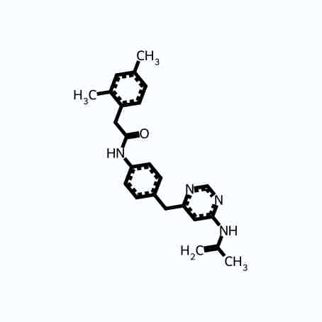 C=C(C)Nc1cc(Cc2ccc(NC(=O)Cc3ccc(C)cc3C)cc2)ncn1